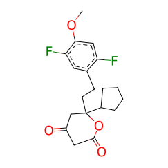 COc1cc(F)c(CCC2(C3CCCC3)CC(=O)CC(=O)O2)cc1F